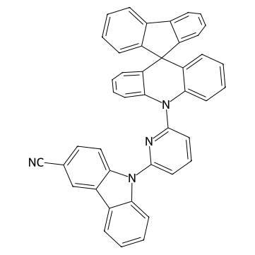 N#Cc1ccc2c(c1)c1ccccc1n2-c1cccc(N2c3ccccc3C3(c4ccccc4-c4ccccc43)c3ccccc32)n1